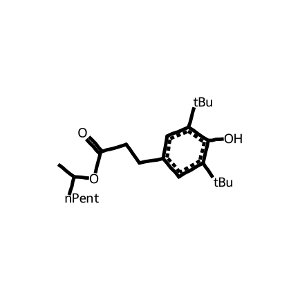 CCCCCC(C)OC(=O)CCc1cc(C(C)(C)C)c(O)c(C(C)(C)C)c1